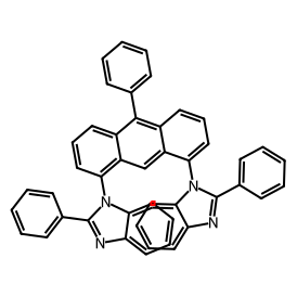 c1ccc(-c2c3cccc(-n4c(-c5ccccc5)nc5ccccc54)c3cc3c(-n4c(-c5ccccc5)nc5ccccc54)cccc23)cc1